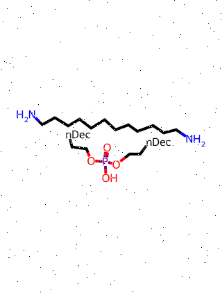 CCCCCCCCCCCCOP(=O)(O)OCCCCCCCCCCCC.NCCCCCCCCCCCCN